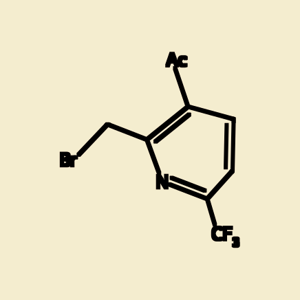 CC(=O)c1ccc(C(F)(F)F)nc1CBr